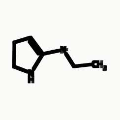 CC[N]C1=CCCN1